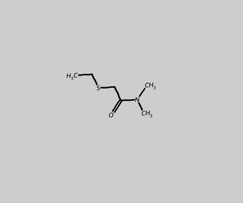 CCSCC(=O)N(C)C